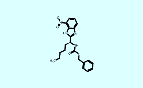 CCCCC[C@H](NC(=O)OCc1ccccc1)c1nc2cccc([N+](=O)[O-])c2[nH]1